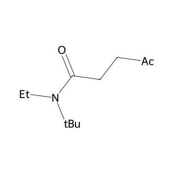 CCN(C(=O)CCC(C)=O)C(C)(C)C